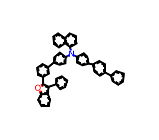 c1ccc(-c2ccc(-c3ccc(N(c4ccc(-c5cccc(-c6oc7ccccc7c6-c6ccccc6)c5)cc4)c4cccc5ccccc45)cc3)cc2)cc1